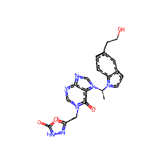 CC(n1ccc2cc(CCO)ccc21)n1cnc2ncn(Cc3n[nH]c(=O)o3)c(=O)c21